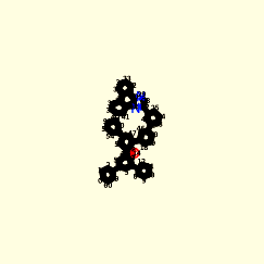 c1ccc(-c2cc(-c3ccccc3)c3oc4c(-c5cccc(-c6cccc(-c7cnc8c9ccccc9c9ccccc9c8n7)c6)c5)cc(-c5ccccc5)cc4c3c2)cc1